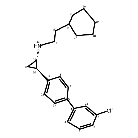 Clc1cccc(-c2ccc([C@H]3C[C@@H]3NCCC3CCCCC3)cc2)c1